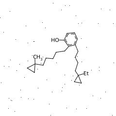 CCC1(CCCCc2cccc(O)c2CCCCCC2(C)CC2)CC1